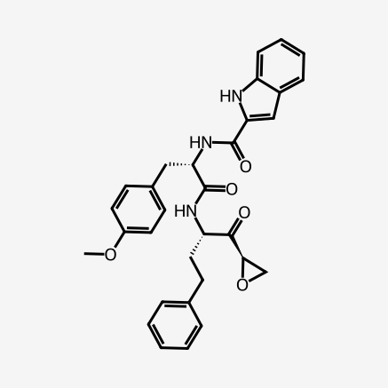 COc1ccc(C[C@H](NC(=O)c2cc3ccccc3[nH]2)C(=O)N[C@@H](CCc2ccccc2)C(=O)[C@H]2CO2)cc1